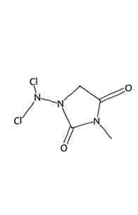 CN1C(=O)CN(N(Cl)Cl)C1=O